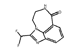 O=C1NCCn2c(C(F)F)nc3cccc1c32